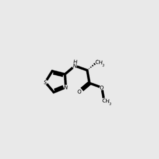 COC(=O)[C@@H](C)Nc1cscn1